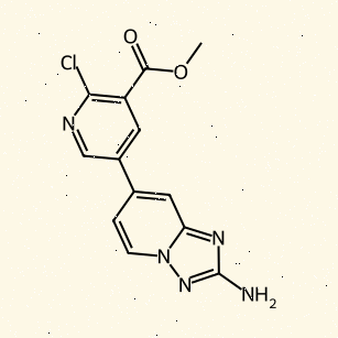 COC(=O)c1cc(-c2ccn3nc(N)nc3c2)cnc1Cl